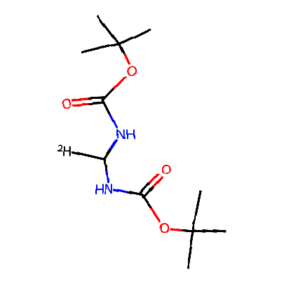 [2H]C(NC(=O)OC(C)(C)C)NC(=O)OC(C)(C)C